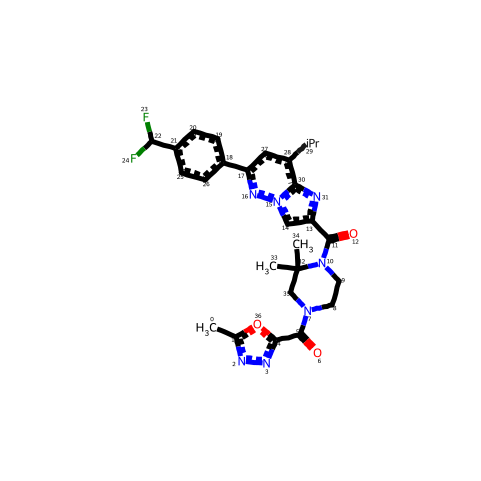 Cc1nnc(C(=O)N2CCN(C(=O)c3cn4nc(-c5ccc(C(F)F)cc5)cc(C(C)C)c4n3)C(C)(C)C2)o1